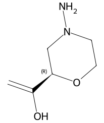 C=C(O)[C@H]1CN(N)CCO1